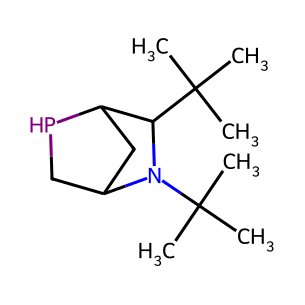 CC(C)(C)C1C2CC(CP2)N1C(C)(C)C